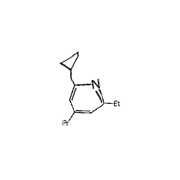 CCc1cc(C(C)C)cc(C2CC2)n1